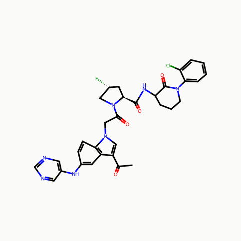 CC(=O)c1cn(CC(=O)N2C[C@H](F)C[C@H]2C(=O)NC2CCCN(c3ccccc3Cl)C2=O)c2ccc(Nc3cncnc3)cc12